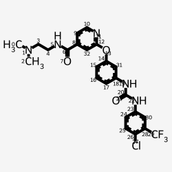 CN(C)CCNC(=O)c1ccnc(Oc2cccc(NC(=O)Nc3ccc(Cl)c(C(F)(F)F)c3)c2)c1